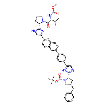 COC(=O)N[C@H](C(=O)N1CCC[C@H]1c1nc(-c2ccc3cc(-c4ccc(-c5cnc([C@@H]6C[C@@H](Cc7ccccc7)CN6C(=O)OC(C)(C)C)[nH]5)cc4)ccc3c2)c[nH]1)C(C)C